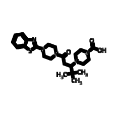 CC(C)(C)C(CC(=O)N1CCN(c2nc3ccccc3s2)CC1)N1CCN(C(=O)O)CC1